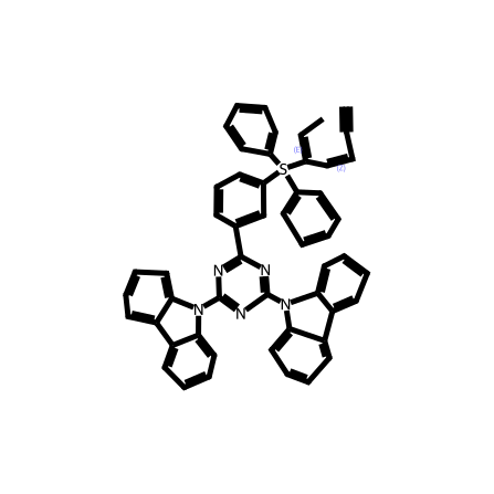 C#C/C=C\C(=C/C)S(c1ccccc1)(c1ccccc1)c1cccc(-c2nc(-n3c4ccccc4c4ccccc43)nc(-n3c4ccccc4c4ccccc43)n2)c1